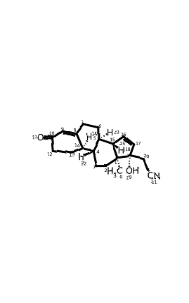 C[C@]12CC[C@H]3[C@@H](CCC4=CC(=O)CC[C@@H]43)[C@@H]1C=C[C@@]2(O)CC#N